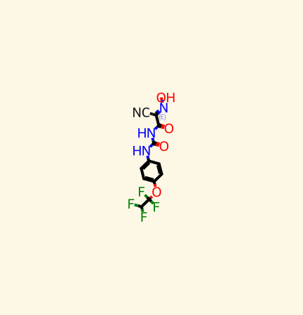 N#C/C(=N\O)C(=O)NC(=O)Nc1ccc(OC(F)(F)C(F)F)cc1